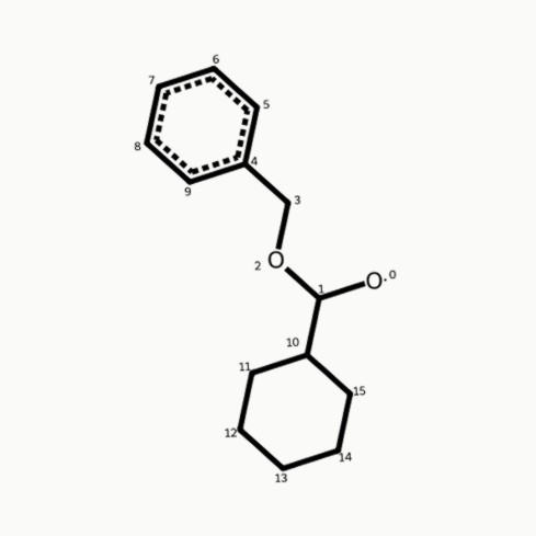 [O]C(OCc1ccccc1)C1CCCCC1